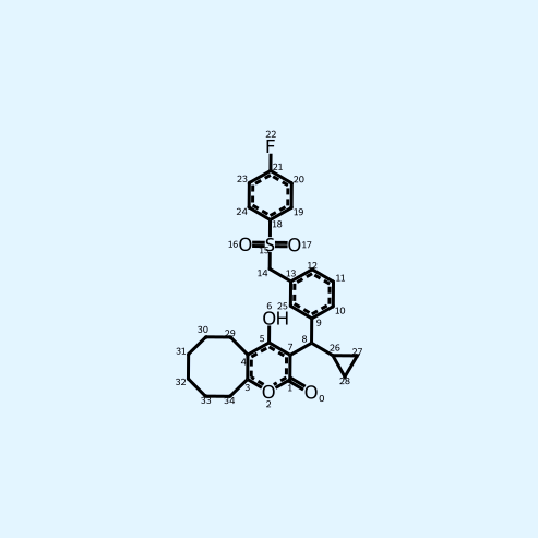 O=c1oc2c(c(O)c1C(c1cccc(CS(=O)(=O)c3ccc(F)cc3)c1)C1CC1)CCCCCC2